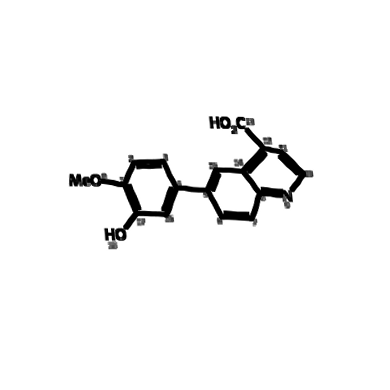 COc1ccc(-c2ccc3nccc(C(=O)O)c3c2)cc1O